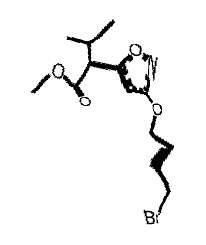 COC(=O)C(c1cc(OC/C=C/CBr)no1)C(C)C